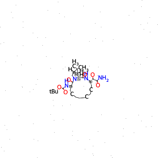 CC(C)(C)OC(=O)N[C@H]1CCCCCCCCC[C@@H](C(=O)C(N)=O)NC(=O)[C@@H]2[C@@H]3[C@H](CN2C1=O)C3(C)C